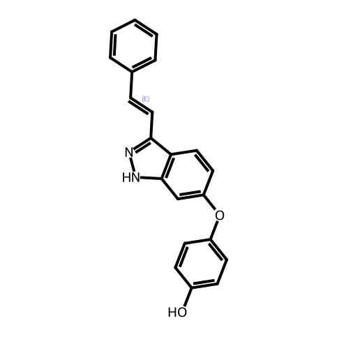 Oc1ccc(Oc2ccc3c(/C=C/c4ccccc4)n[nH]c3c2)cc1